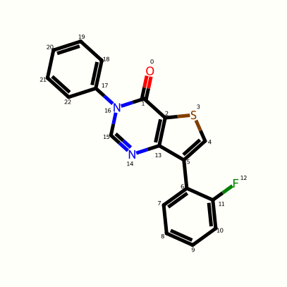 O=c1c2scc(-c3ccccc3F)c2ncn1-c1ccccc1